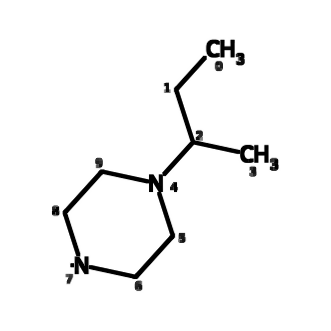 CCC(C)N1CC[N]CC1